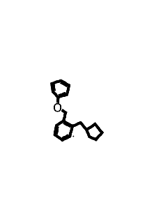 [c]1cccc(COc2ccccc2)c1CC1CCCC1